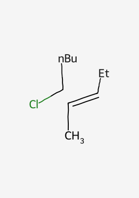 CC=CCC.CCCCCCl